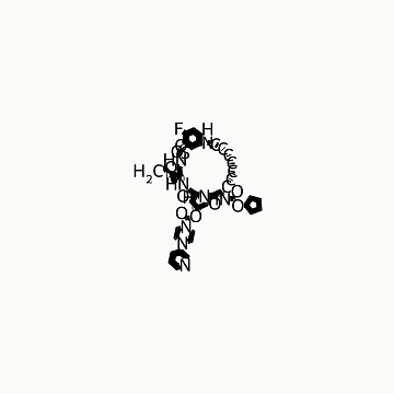 C=C[C@@H]1C[C@@]12NC(=O)[C@@H]1C[C@@H](OC(=O)N3CCN(c4cccnc4)CC3)CN1C(=O)[C@@H](NC(=O)OC1CCCC1)CCCCCCCNc1ccc(F)cc1S(=O)(=O)NC2=O